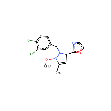 CC1=CC(c2ncco2)N(Cc2ccc(Cl)c(Cl)c2)N1OC=O